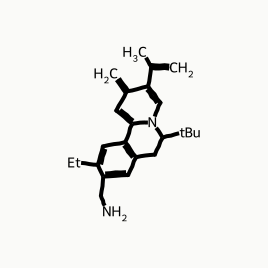 C=C(C)C1=CN2C(=CC1=C)c1cc(CC)c(CN)cc1CC2C(C)(C)C